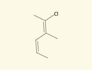 C/C=C\C(C)=C(/C)Cl